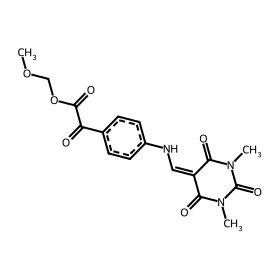 COCOC(=O)C(=O)c1ccc(NC=C2C(=O)N(C)C(=O)N(C)C2=O)cc1